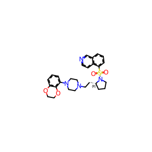 O=S(=O)(c1cccc2cnccc12)N1CCC[C@@H]1CCN1CCN(c2cccc3c2OCCO3)CC1